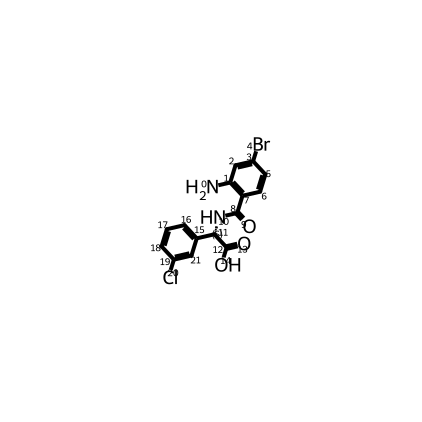 Nc1cc(Br)ccc1C(=O)N[C@H](C(=O)O)c1cccc(Cl)c1